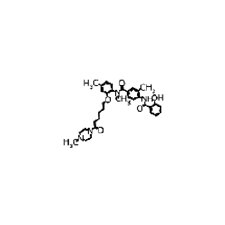 Cc1ccc(N(C)C(=O)c2ccc(NC(=O)c3ccccc3O)c(C)c2)c(OCCCCCC(=O)N2CCN(C)CC2)c1